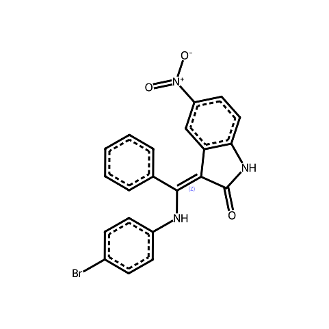 O=C1Nc2ccc([N+](=O)[O-])cc2/C1=C(/Nc1ccc(Br)cc1)c1ccccc1